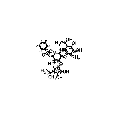 C[C@@H](O)C1O[C@H](O[C@@H]2C(N)C[C@@H](NS(=O)(=O)c3ccccc3)C(O)C2O[C@@H]2O[C@H]([C@@H](C)N)C(O)C2O)C(N)C(O)[C@@H]1O